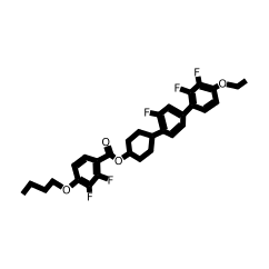 CCCCOc1ccc(C(=O)OC2CCC(c3ccc(-c4ccc(OCC)c(F)c4F)cc3F)CC2)c(F)c1F